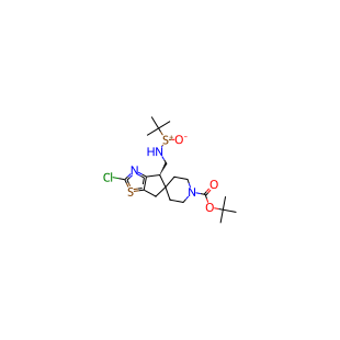 CC(C)(C)OC(=O)N1CCC2(CC1)Cc1sc(Cl)nc1[C@H]2CN[S+]([O-])C(C)(C)C